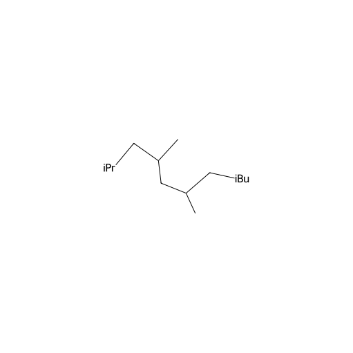 [CH2]C(C)CC(C)CC(C)CC(C)CC